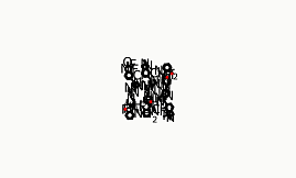 CN1C(=O)C(F)(F)c2c1ccc(-c1n[nH]c3nc(N4CC[C@@H]5[C@H](C4)[C@@]5(CN)c4ccccc4F)cnc13)c2Cl.Cn1cc2ccc(-c3n[nH]c4nc(N5CC[C@@H]6[C@H](C5)[C@@]6(CN)c5ccccc5F)cnc34)c(Cl)c2n1.Cn1ncc2ccc(-c3n[nH]c4nc(N5CC[C@@H]6[C@H](C5)[C@@]6(CN)c5ccccc5F)cnc34)c(Cl)c21